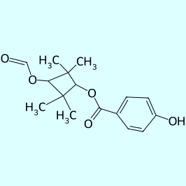 CC1(C)C(OC=O)C(C)(C)C1OC(=O)c1ccc(O)cc1